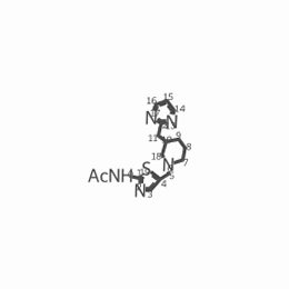 CC(=O)Nc1ncc(CN2CCCC(Cc3ncccn3)C2)s1